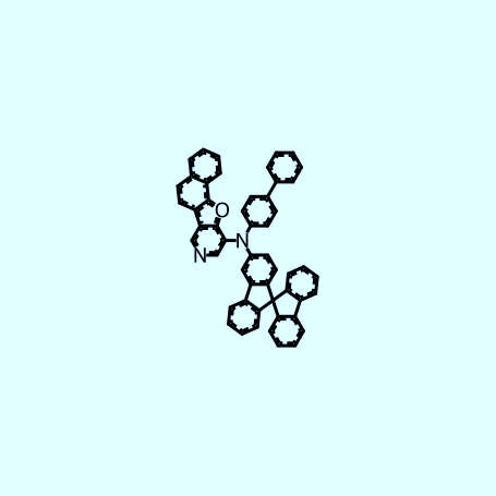 c1ccc(-c2ccc(N(c3ccc4c(c3)-c3ccccc3C43c4ccccc4-c4ccccc43)c3cncc4c3oc3c5ccccc5ccc43)cc2)cc1